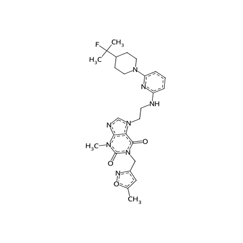 Cc1cc(Cn2c(=O)c3c(ncn3CCNc3cccc(N4CCC(C(C)(C)F)CC4)n3)n(C)c2=O)no1